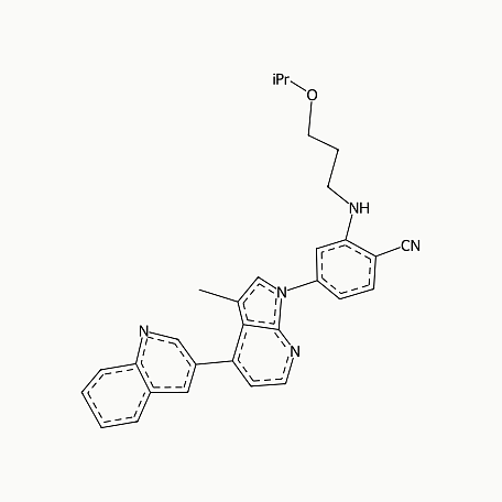 Cc1cn(-c2ccc(C#N)c(NCCCOC(C)C)c2)c2nccc(-c3cnc4ccccc4c3)c12